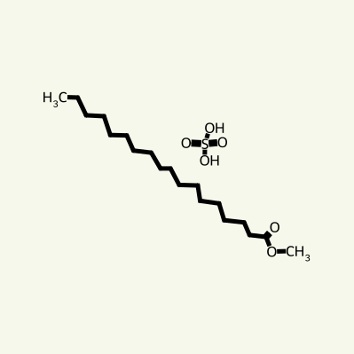 CCCCCCCCCCCCCCCCCC(=O)OC.O=S(=O)(O)O